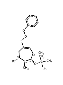 C[C@@H]1[C@H](O[Si](C)(C)C(C)(C)C)[C@@H](C)C=C(SOOc2ccccc2)C[C@H]1O